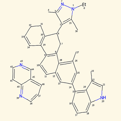 CCn1nc(C)c(C2Cc3c(ccc4cc(-c5cccc6[nH]cc(C)c56)cc(C)c34)C3=C2CCC=C3)c1C.c1cnc2ccncc2c1